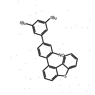 CC(C)(C)c1cc(-c2ccc(-c3cccc4sc5ccccc5c34)c([N+](=O)[O-])c2)cc(C(C)(C)C)c1